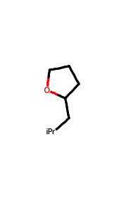 CC(C)CC1CCCO1